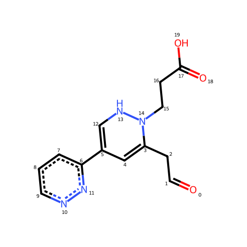 O=CCC1=CC(c2cccnn2)=CNN1CCC(=O)O